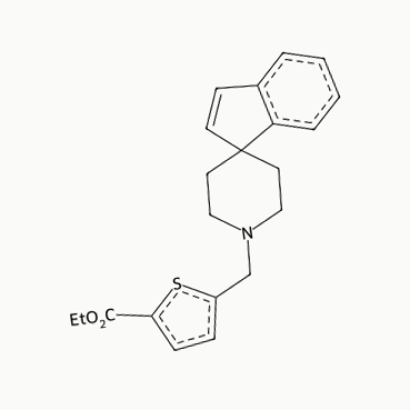 CCOC(=O)c1ccc(CN2CCC3(C=Cc4ccccc43)CC2)s1